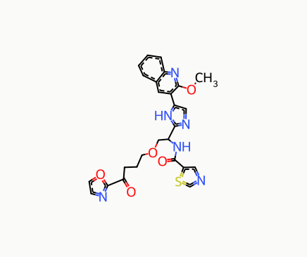 COc1nc2ccccc2cc1-c1cnc(C(COCCCC(=O)c2ncco2)NC(=O)c2cncs2)[nH]1